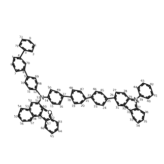 c1ccc(-c2cccc(-c3ccc(N(c4ccc(-c5ccc(-c6ccc(-c7ccc8c(c7)c7ccccc7n8-c7ccccc7)cc6)cc5)cc4)c4cc5ccccc5c5c4oc4ccccc45)cc3)c2)cc1